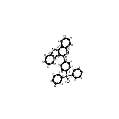 O=P(c1ccccc1)(c1ccccc1)c1ccc(-c2nc3ccccc3c3nc4ccccn4c23)cc1